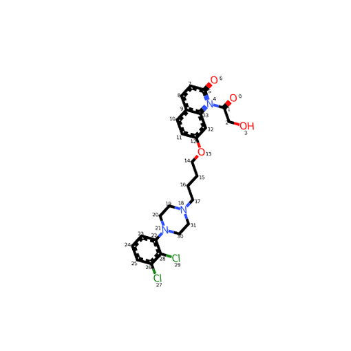 O=C(CO)n1c(=O)ccc2ccc(OCCCCN3CCN(c4cccc(Cl)c4Cl)CC3)cc21